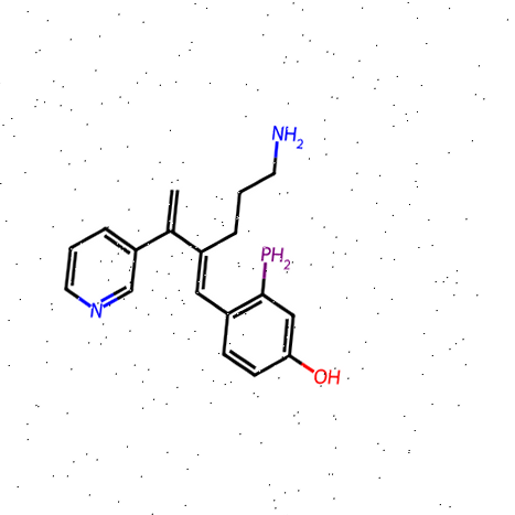 C=C(/C(=C/c1ccc(O)cc1P)CCCN)c1cccnc1